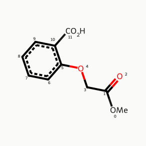 COC(=O)COc1ccccc1C(=O)O